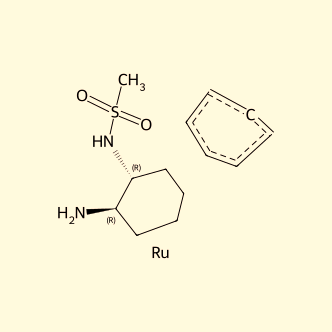 CS(=O)(=O)N[C@@H]1CCCC[C@H]1N.[Ru].c1ccccc1